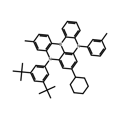 Cc1cccc(N2c3ccccc3B3c4ccc(C)cc4N(c4cc(C(C)(C)C)cc(C(C)(C)C)c4)c4cc(C5CCCCC5)cc2c43)c1